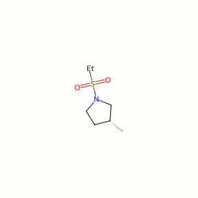 CCS(=O)(=O)N1CC[C@@H](C)C1